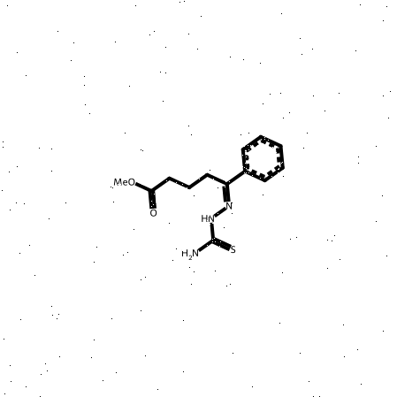 COC(=O)CCCC(=NNC(N)=S)c1ccccc1